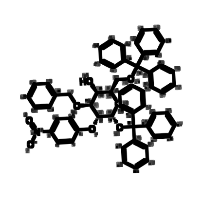 O=[N+]([O-])c1ccc(O[C@H]2[C@@H](OC(c3ccccc3)(c3ccccc3)c3ccccc3)O[C@H](COC(c3ccccc3)(c3ccccc3)c3ccccc3)[C@H](O)[C@@H]2OCc2ccccc2)cc1